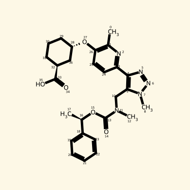 Cc1nc(-c2nnn(C)c2CN(C)C(=O)O[C@H](C)c2ccccc2)ccc1O[C@H]1CCC[C@H](C(=O)O)C1